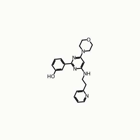 Oc1cccc(-c2nc(NCCc3ccccn3)cc(N3CCOCC3)n2)c1